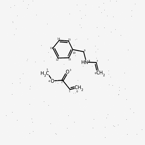 C=CC(=O)OC.C=CNCc1ccccc1